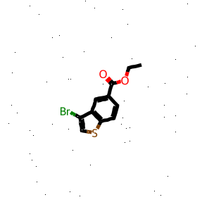 CCOC(=O)c1ccc2scc(Br)c2c1